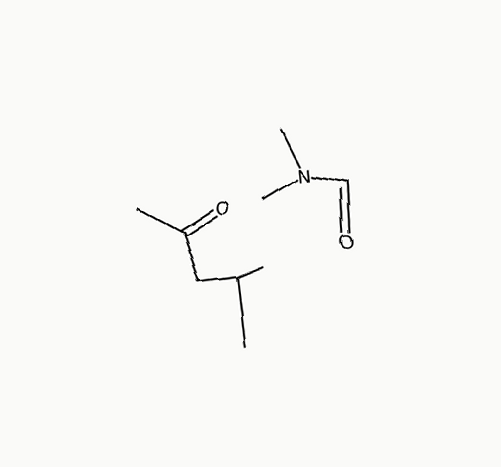 CC(=O)CC(C)C.CN(C)C=O